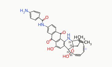 CC(C)C[C@@]12O[C@]13c1cc(O)c4c(c1N[C@H]2C#C/C=C\C#C[C@H]3O)C(=O)c1ccc(NC(=O)c2ccc(N)cc2)cc1C4=O